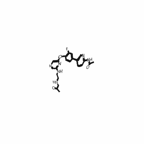 CC(=O)CNCCNc1cncc(Oc2ccc(-c3ccc(NC(C)=O)nc3)cc2F)n1